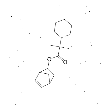 CC(C)(C(=O)OC1CC2C=CC1C2)C1CCCCC1